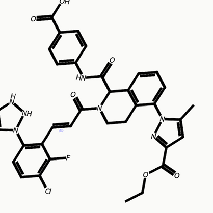 CCOC(=O)c1cc(C)n(-c2cccc3c2CCN(C(=O)/C=C/c2c(N4C=NNN4)ccc(Cl)c2F)C3C(=O)Nc2ccc(C(=O)O)cc2)n1